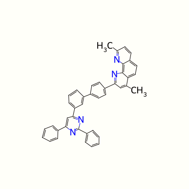 Cc1ccc2ccc3c(C)cc(-c4ccc(-c5cccc(-c6cc(-c7ccccc7)nc(-c7ccccc7)n6)c5)cc4)nc3c2n1